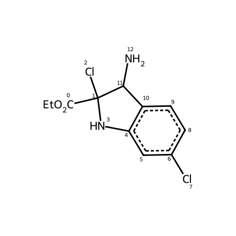 CCOC(=O)C1(Cl)Nc2cc(Cl)ccc2C1N